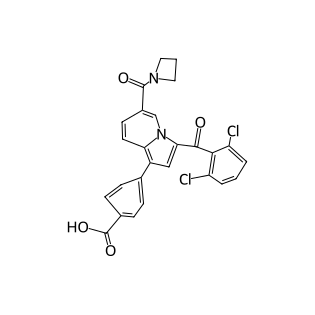 O=C(O)c1ccc(-c2cc(C(=O)c3c(Cl)cccc3Cl)n3cc(C(=O)N4CCC4)ccc23)cc1